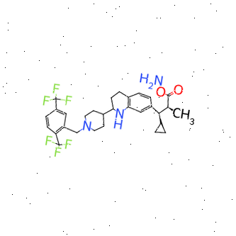 C[C@H](C(=O)ON)[C@H](c1ccc2c(c1)NC(C1CCN(Cc3cc(C(F)(F)F)ccc3C(F)(F)F)CC1)CC2)C1CC1